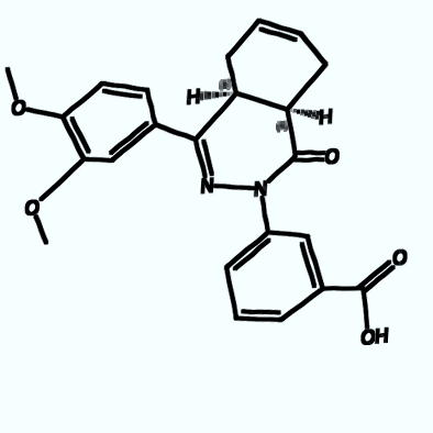 COc1ccc(C2=NN(c3cccc(C(=O)O)c3)C(=O)[C@@H]3CC=CC[C@H]23)cc1OC